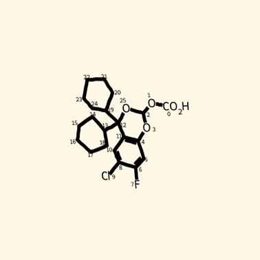 O=C(O)OC1Oc2cc(F)c(Cl)cc2C(C2CCCCC2)(C2CCCCC2)O1